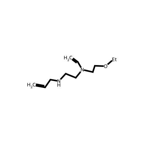 C=CCNCCN(C=C)CCOCC